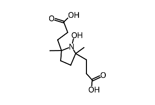 CC1(CCC(=O)O)CCC(C)(CCC(=O)O)N1O